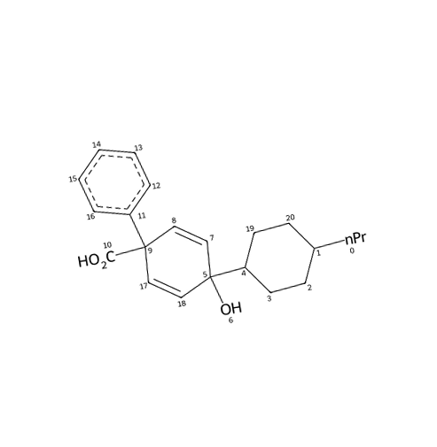 CCCC1CCC(C2(O)C=CC(C(=O)O)(c3ccccc3)C=C2)CC1